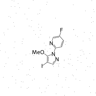 COc1c(I)cnn1-c1ccc(F)cn1